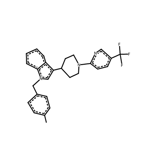 Cc1ccc(Cn2cc(C3CCN(c4ccc(C(F)(F)F)cn4)CC3)c3ccccc32)cc1